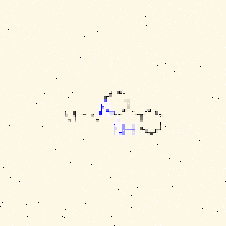 CNn1cccc(-c2ccccc2)c1=N